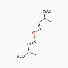 CC(=O)OC(C)/C=C/O/C=C/C(C)OC(C)=O